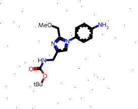 COCc1nc(CNC(=O)OC(C)(C)C)cn1-c1ccc(N)cc1